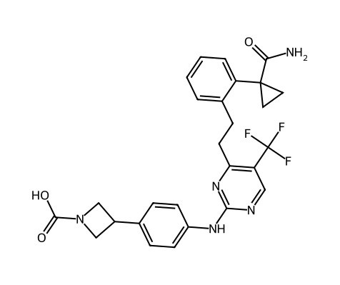 NC(=O)C1(c2ccccc2CCc2nc(Nc3ccc(C4CN(C(=O)O)C4)cc3)ncc2C(F)(F)F)CC1